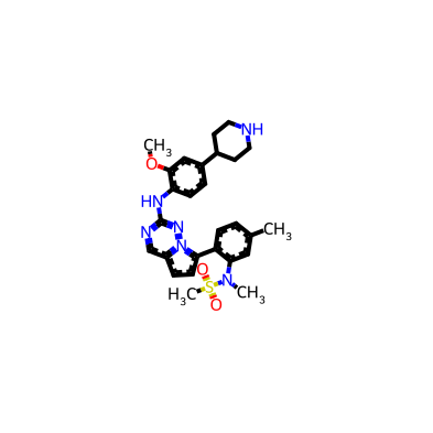 COc1cc(C2CCNCC2)ccc1Nc1ncc2ccc(-c3ccc(C)cc3N(C)S(C)(=O)=O)n2n1